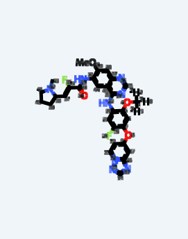 [2H]C([2H])([2H])Oc1cc(Oc2ccn3ncnc3c2)c(F)cc1Nc1ncnc2cc(OC)c(NC(=O)C(F)=CC3CCCN3C)cc12